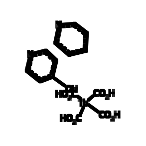 O=[C](O)[Tb]([C](=O)O)([C](=O)O)[C](=O)O.Oc1ccncc1.c1ccncc1